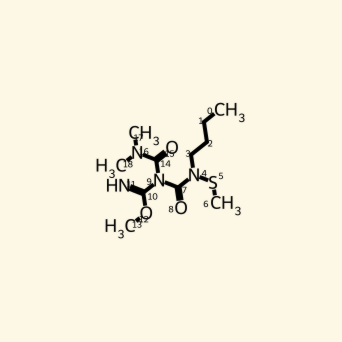 CCCCN(SC)C(=O)N(C(=N)OC)C(=O)N(C)C